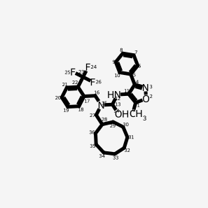 Cc1onc(-c2ccccc2)c1NC(O)N(Cc1ccccc1C(F)(F)F)CC1CCCCCCCC1